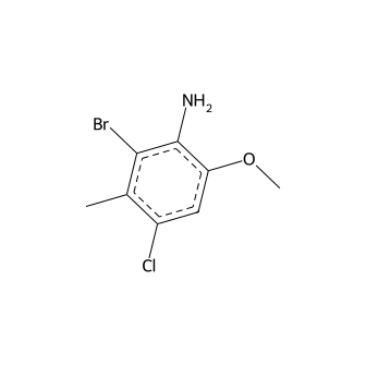 COc1cc(Cl)c(C)c(Br)c1N